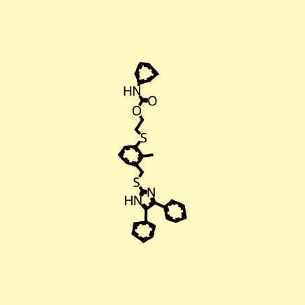 Cc1c(CSc2nc(-c3ccccc3)c(-c3ccccc3)[nH]2)cccc1SCCOC(=O)Nc1ccccc1